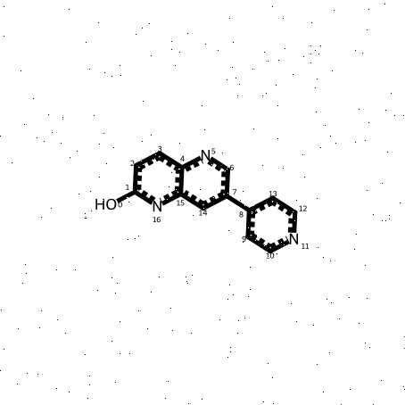 Oc1ccc2ncc(-c3ccncc3)cc2n1